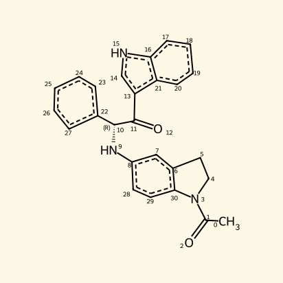 CC(=O)N1CCc2cc(N[C@@H](C(=O)c3c[nH]c4ccccc34)c3ccccc3)ccc21